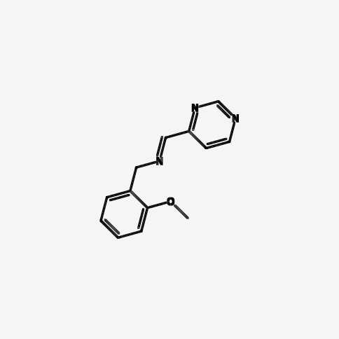 COc1ccccc1CN=Cc1ccncn1